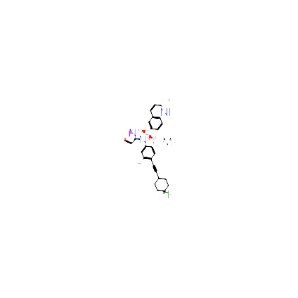 COc1cc(C#CC2CCC(F)(F)CC2)c(F)cc1N(c1ccon1)S(=O)(=O)c1ccc2[nH]c(=O)ccc2c1